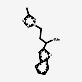 CNC(CCn1nnc(C)n1)c1cc2ccccc2o1